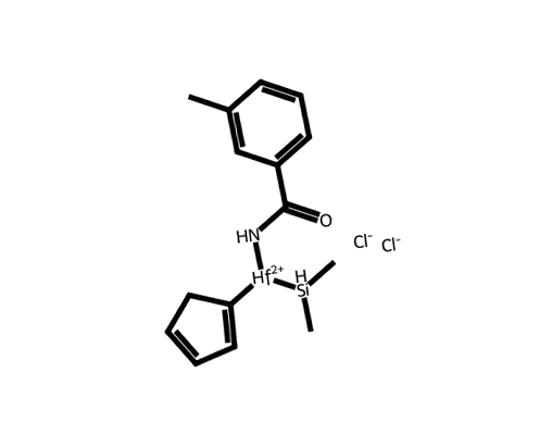 Cc1cccc(C(=O)[NH][Hf+2]([C]2=CC=CC2)[SiH](C)C)c1.[Cl-].[Cl-]